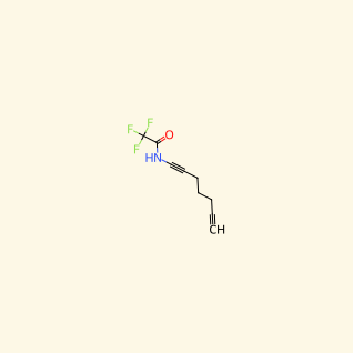 C#CCCCC#CNC(=O)C(F)(F)F